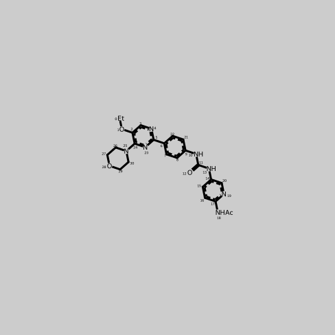 CCOc1cnc(-c2ccc(NC(=O)Nc3ccc(NC(C)=O)nc3)cc2)nc1N1CCOCC1